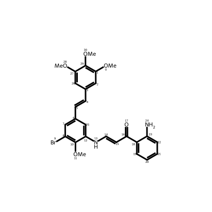 COc1cc(C=Cc2cc(Br)c(OC)c(NC=CC(=O)c3ccccc3N)c2)cc(OC)c1OC